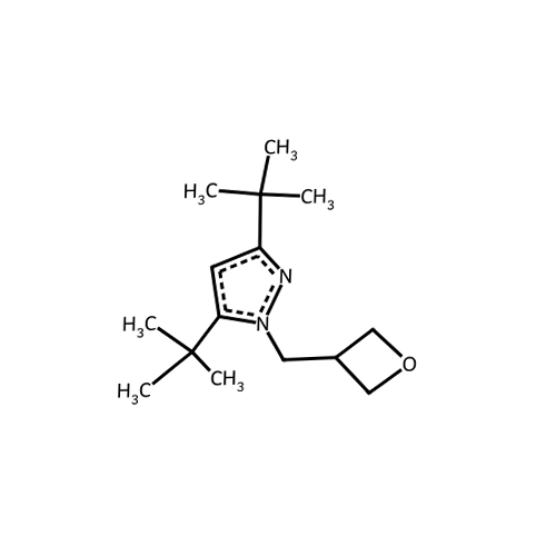 CC(C)(C)c1cc(C(C)(C)C)n(CC2COC2)n1